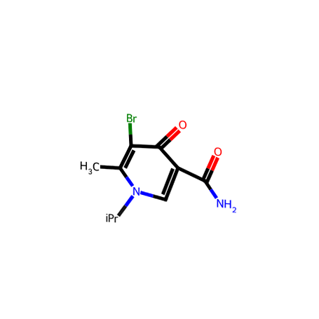 Cc1c(Br)c(=O)c(C(N)=O)cn1C(C)C